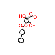 O=C(O[C@@H]1C[C@H](O)[C@H]([C@@H]2OC2=O)[C@H]1CO)c1ccc(-c2ccccc2)cc1